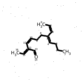 C/C=C\C(=C/CCC)CC/C=C\C(C=O)=C/C